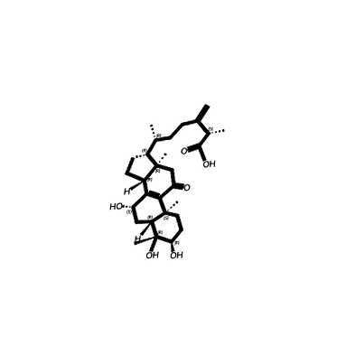 C=C(CC[C@@H](C)[C@H]1CC[C@H]2C3=C(C(=O)C[C@]12C)[C@@]1(C)CC[C@@H](O)[C@](C)(O)[C@@H]1C[C@@H]3O)[C@H](C)C(=O)O